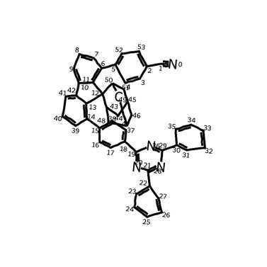 N#Cc1ccc(-c2cccc3c2C2(c4c(-c5ccc(-c6nc(-c7ccccc7)nc(-c7ccccc7)n6)cc5)cccc4-3)C3CC4CC(C3)CC2C4)cc1